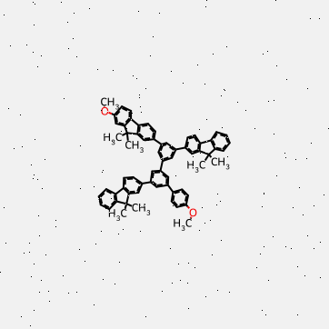 COc1ccc(-c2cc(-c3cc(-c4ccc5c(c4)C(C)(C)c4ccccc4-5)cc(-c4ccc5c(c4)C(C)(C)c4cc(OC)ccc4-5)c3)cc(-c3ccc4c(c3)C(C)(C)c3ccccc3-4)c2)cc1